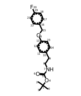 CC(C)(C)OC(=O)NCCc1ccc(OCc2ccc(F)cc2)cc1